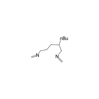 C=NCCCC(CCCC)CN=C